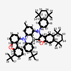 Cc1cc2c3c(c1)N(c1cccc4oc5c(C(C)(C)C)cccc5c14)c1ccc(C(C)(C)C)cc1B3c1oc3cc4c(cc3c1N2c1ccc2c(c1)C(C)(C)CCC2(C)C)C(C)(C)CCC4(C)C